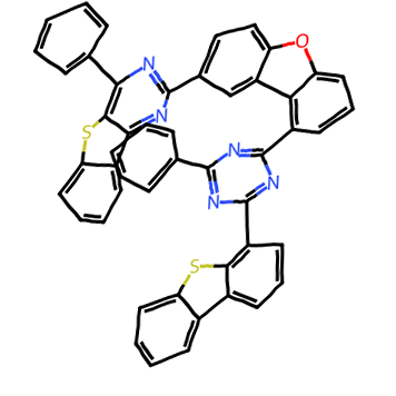 c1ccc(-c2nc(-c3cccc4c3sc3ccccc34)nc(-c3cccc4oc5ccc(-c6nc(-c7ccccc7)c7sc8ccccc8c7n6)cc5c34)n2)cc1